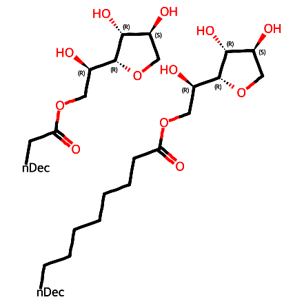 CCCCCCCCCCCC(=O)OC[C@@H](O)[C@H]1OC[C@H](O)[C@H]1O.CCCCCCCCCCCCCCCCCC(=O)OC[C@@H](O)[C@H]1OC[C@H](O)[C@H]1O